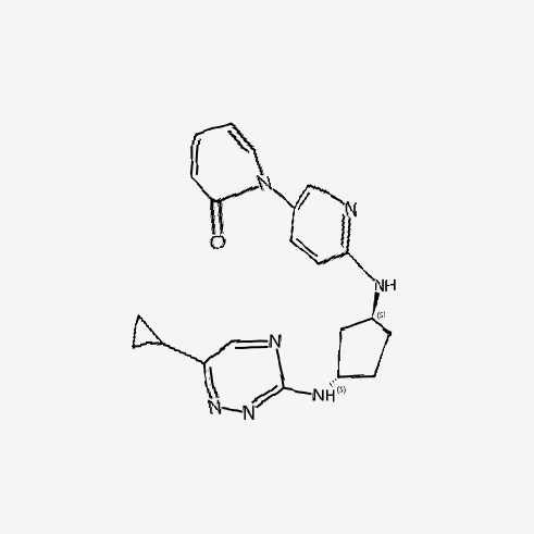 O=c1ccccn1-c1ccc(N[C@H]2CC[C@H](Nc3ncc(C4CC4)nn3)C2)nc1